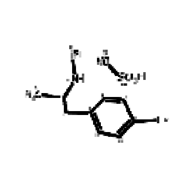 CC(C)N[C@H](C)Cc1ccc(I)cc1.O=S(=O)(O)O